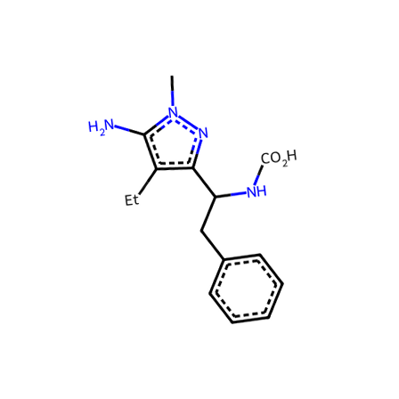 CCc1c(C(Cc2ccccc2)NC(=O)O)nn(C)c1N